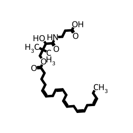 CC/C=C\C/C=C\C/C=C\C/C=C\C/C=C\CCCC(=O)OCC(C)(C)C(O)C(=O)NCCC(=O)O